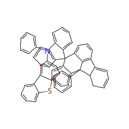 C1=CCC2C(=C1)c1cccc3c1C2(c1ccccc1)c1ccccc1C3(c1ccccc1)c1ccccc1N(c1ccccc1)c1ccc2sc3ccccc3c2c1